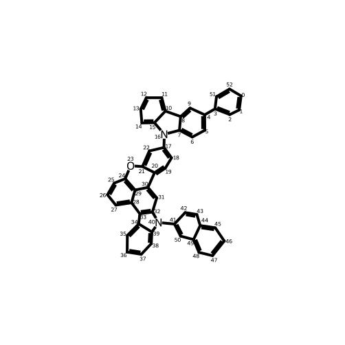 c1ccc(-c2ccc3c(c2)c2ccccc2n3-c2ccc3c(c2)Oc2cccc4c2c-3cc2c4c3ccccc3n2-c2ccc3ccccc3c2)cc1